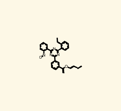 C=C(OCCCC)c1cccc(-c2nc(-c3ccccc3CC)nc(-c3ccccc3N=O)n2)c1